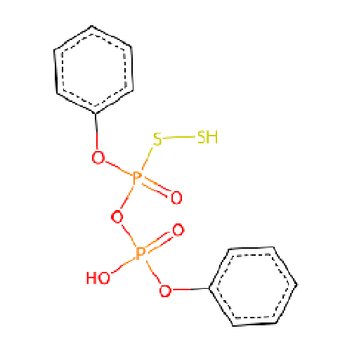 O=P(O)(Oc1ccccc1)OP(=O)(Oc1ccccc1)SS